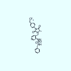 CC1C(=O)N(c2ccc(SC(F)(F)F)cc2)C(=O)N1Cc1ccncc1NS(=O)(=O)NCc1ccccc1